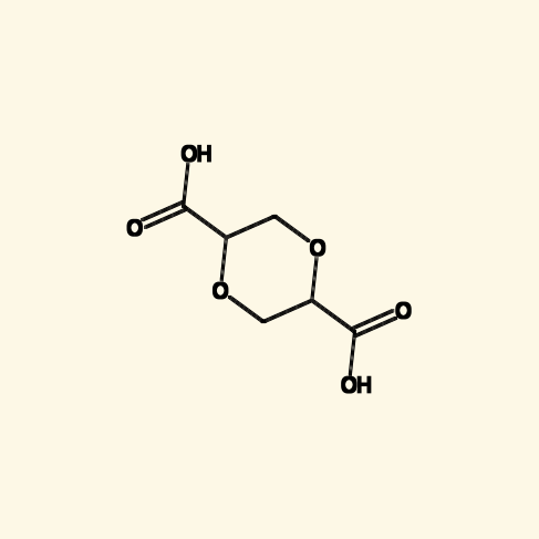 O=C(O)C1COC(C(=O)O)CO1